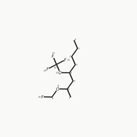 CCCCC(CC(C)OCF)OC(F)(F)F